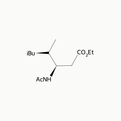 CCOC(=O)C[C@@H](NC(C)=O)C(C)[C@H](C)CC